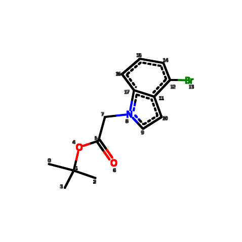 CC(C)(C)OC(=O)Cn1ccc2c(Br)cccc21